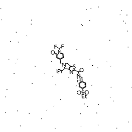 CCS(=O)(=O)c1ccc(CNC(=O)c2nc3c(s2)CN(Cc2ccn(C(F)F)c(=O)c2)C3C(C)C)cc1